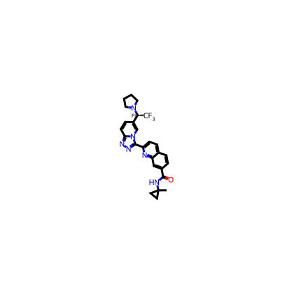 CC1(NC(=O)c2ccc3ccc(-c4nnc5ccc([C@@H](N6CCCC6)C(F)(F)F)cn45)nc3c2)CC1